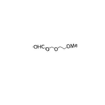 COCCOCO[C]=O